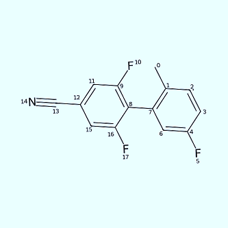 Cc1[c]cc(F)cc1-c1c(F)cc(C#N)cc1F